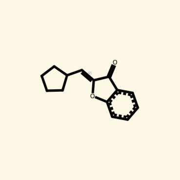 O=C1/C(=C/C2CCCC2)Oc2ccccc21